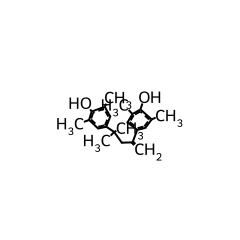 C=C(CC(C)(C)c1cc(C)c(O)c(C)c1)c1cc(C)c(O)c(C)c1